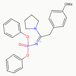 COc1ccc(C/C(=N/P(=O)(Oc2ccccc2)Oc2ccccc2)N2CCCC2)cc1